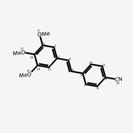 COc1cc(C=Cc2ccc(C#N)cc2)cc(OC)c1OC